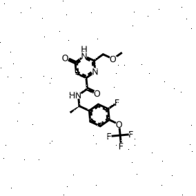 COCc1nc(C(=O)N[C@H](C)c2ccc(OC(F)(F)F)c(F)c2)cc(=O)[nH]1